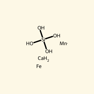 O[Si](O)(O)O.[CaH2].[Fe].[Mn]